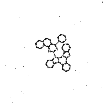 c1ccc(-c2nc(-n3c4ccccc4c4c5ccccc5c5cc6ccccc6n5c43)nc3c2ccc2ccccc23)cc1